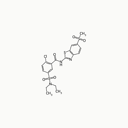 CCN(CC)S(=O)(=O)c1ccc(Cl)c(C(=O)Nc2nc3ccc(S(C)(=O)=O)cc3s2)c1